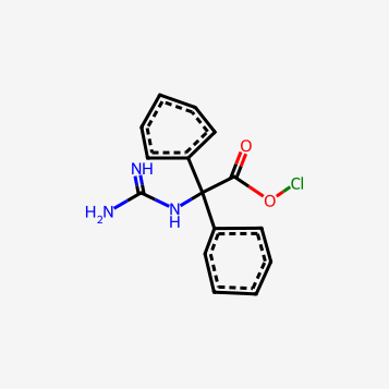 N=C(N)NC(C(=O)OCl)(c1ccccc1)c1ccccc1